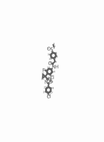 CC[S+]([O-])c1ccc(CC(=O)Nc2cc(F)c(C3(c4noc(-c5ccc(Cl)cc5)n4)CC3)c(Cl)c2)cc1